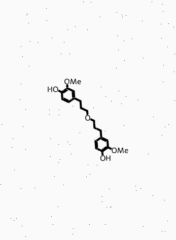 COc1cc(CCCOCCCc2ccc(O)c(OC)c2)ccc1O